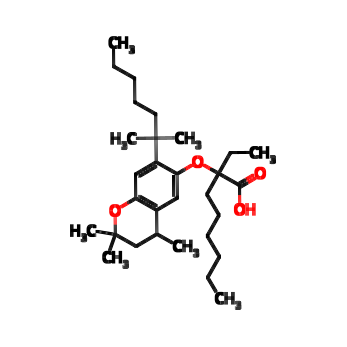 CCCCCCC(CC)(Oc1cc2c(cc1C(C)(C)CCCCC)OC(C)(C)CC2C)C(=O)O